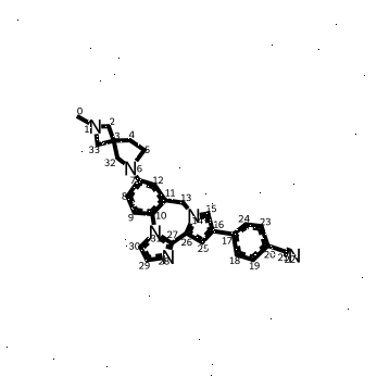 CN1CC2(CCN(c3ccc4c(c3)Cn3cc(-c5ccc(C#N)cc5)cc3-c3nccn3-4)C2)C1